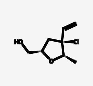 C=C[C@]1(Cl)C[C@@H](CO)O[C@H]1C